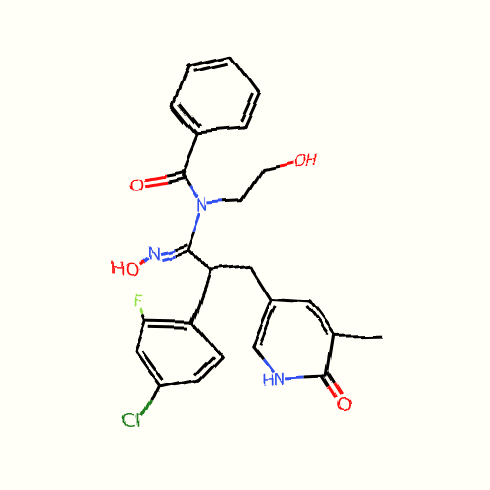 Cc1cc(CC(/C(=N\O)N(CCO)C(=O)c2ccccc2)c2ccc(Cl)cc2F)c[nH]c1=O